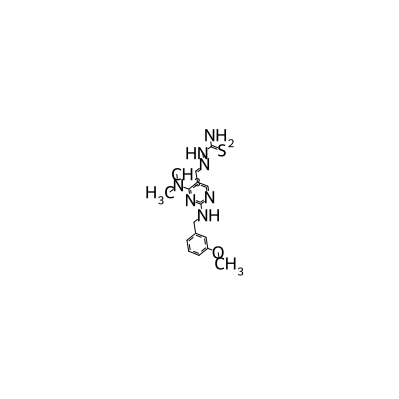 COc1cccc(CNc2ncc(/C=N/NC(N)=S)c(N(C)C)n2)c1